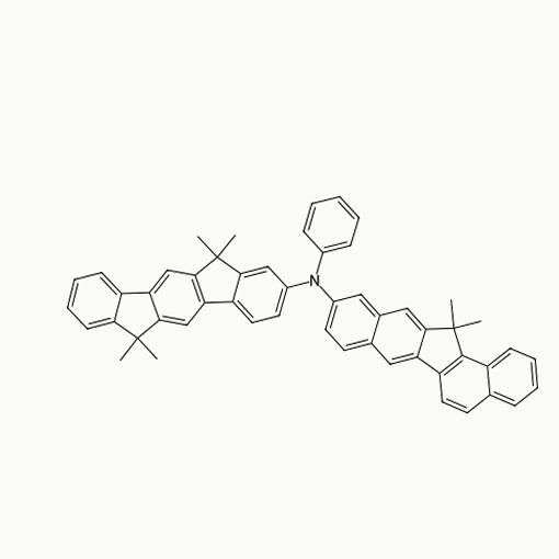 CC1(C)c2ccccc2-c2cc3c(cc21)-c1ccc(N(c2ccccc2)c2ccc4cc5c(cc4c2)C(C)(C)c2c-5ccc4ccccc24)cc1C3(C)C